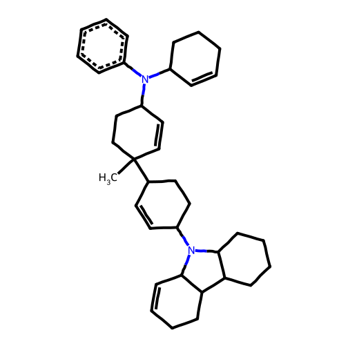 CC1(C2C=CC(N3C4C=CCCC4C4CCCCC43)CC2)C=CC(N(c2ccccc2)C2C=CCCC2)CC1